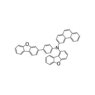 c1ccc2c(c1)ccc1ccc(N(c3ccc(-c4ccc5c(c4)oc4ccccc45)cc3)c3cccc4oc5ccccc5c34)cc12